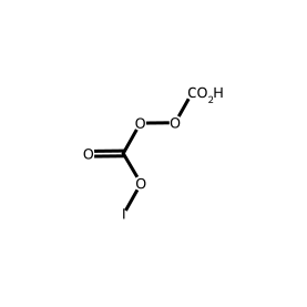 O=C(O)OOC(=O)OI